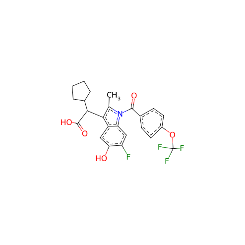 Cc1c(C(C(=O)O)C2CCCC2)c2cc(O)c(F)cc2n1C(=O)c1ccc(OC(F)(F)F)cc1